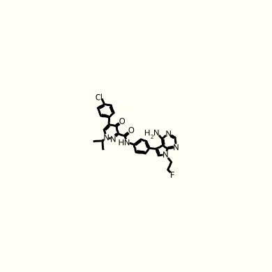 CC(C)n1cc(-c2ccc(Cl)cc2)c(=O)c(C(=O)Nc2ccc(-c3cn(CCF)c4ncnc(N)c34)cc2)n1